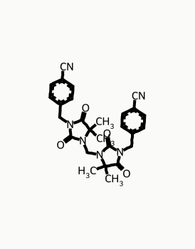 CC1(C)C(=O)N(Cc2ccc(C#N)cc2)C(=O)N1CN1C(=O)N(Cc2ccc(C#N)cc2)C(=O)C1(C)C